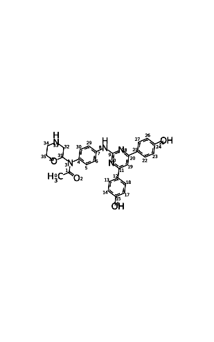 CC(=O)N(c1ccc(Nc2nc(-c3ccc(O)cc3)cc(-c3ccc(O)cc3)n2)cc1)C1CNCCO1